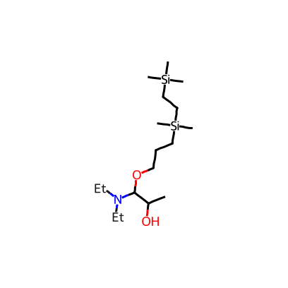 CCN(CC)C(OCCC[Si](C)(C)CC[Si](C)(C)C)C(C)O